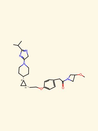 COC1CN(C(=O)Cc2ccc(OCC[C@@H]3C[C@@H]3C3CCN(C4=NC(C(C)C)=NC4)CC3)cc2)C1